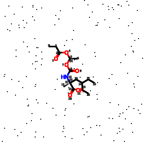 CCC(=O)O[C@@H](C)OC(=O)N[C@@](C)(CC(CC)CC)C(=O)O